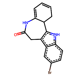 O=C1Cc2c([nH]c3ccc(Br)cc23)C2CC=CC=C2N1